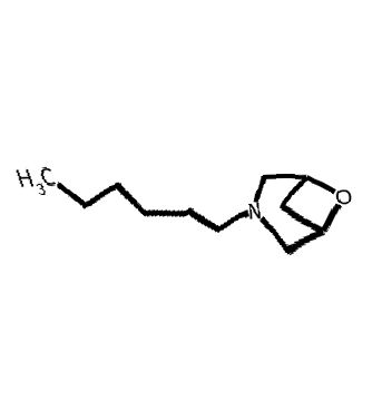 CCCCCCN1CC2CC(C1)O2